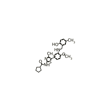 COc1ccc(-c2sc(NC(=O)C3CCCC3)nc2C)cc1NCc1cc(C)ccc1O